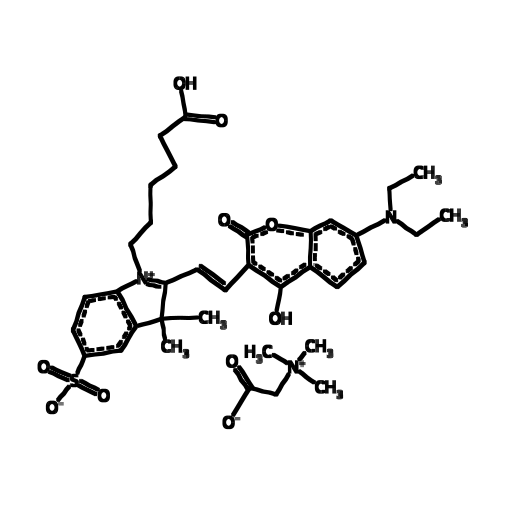 CCN(CC)c1ccc2c(O)c(/C=C/C3=[N+](CCCCCC(=O)O)c4ccc(S(=O)(=O)[O-])cc4C3(C)C)c(=O)oc2c1.C[N+](C)(C)CC(=O)[O-]